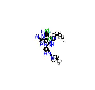 CN(C)CCNCc1cccc([C@H](Nc2cc(Cl)cc3c(Nc4ccc(F)c(Cl)c4)c(C#N)cnc23)c2cn(C3CCN(C(C)(C)C)CC3)nn2)c1